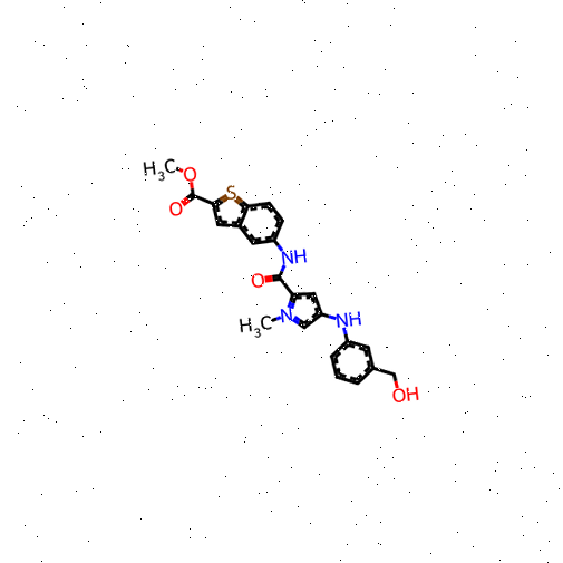 COC(=O)c1cc2cc(NC(=O)c3cc(Nc4cccc(CO)c4)cn3C)ccc2s1